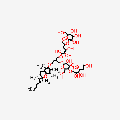 Cc1c(C)c2c(c(C)c1OCCC(CO[C@@H]1OC(CO)[C@@H](O[C@H](O)/C(O)=C(/O)[C@H](O)CCO)C(O)C1O)CO[C@@H](O)/C(O)=C(/O)CC(CO)O[C@H]1OC(CO)[C@@H](O)C(O)C1O)CCC(C)(C(C)CCCC(C)(C)C)O2